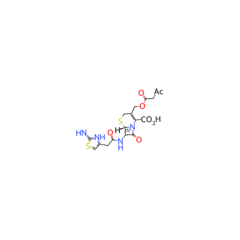 CC(=O)CC(=O)OCC1=C(C(=O)O)N2C(=O)C(NC(=O)Cc3csc(=N)[nH]3)[C@@H]2SC1